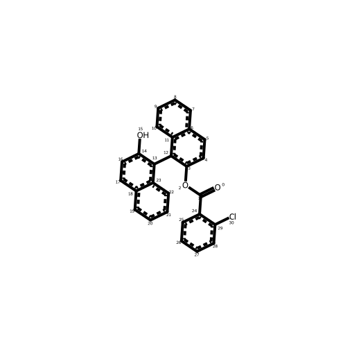 O=C(Oc1ccc2ccccc2c1-c1c(O)ccc2ccccc12)c1ccccc1Cl